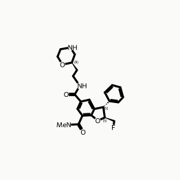 CNC(=O)c1cc(C(=O)NCC[C@@H]2CNCCO2)cc2c1O[C@H](CF)[C@H]2c1ccccc1